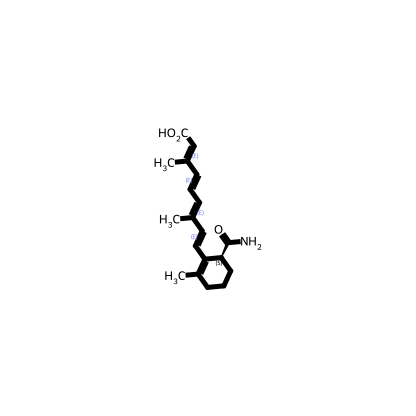 CC1=C(/C=C/C(C)=C/C=C/C(C)=C/C(=O)O)[C@@H](C(N)=O)CCC1